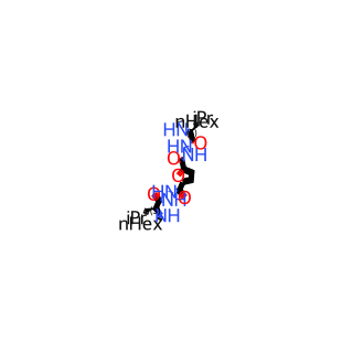 CCCCCCN[C@@H](CC(C)C)C(=O)NNC(=O)c1ccc(C(=O)NNC(=O)[C@H](CC(C)C)NCCCCCC)o1